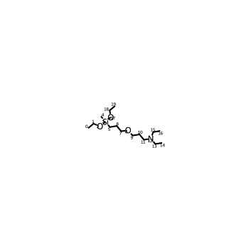 CCO[Si](C)(CCCOCCCN(CC)CC)OCC